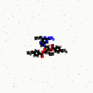 C#C[C@]1(COC(=O)c2ccc(C)cc2)O[C@@H](n2cnc3c(OC)nc(N)nc32)C[C@@H]1OC(=O)c1ccc(C)cc1